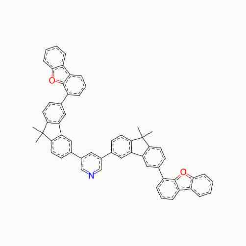 CC1(C)c2ccc(-c3cncc(-c4ccc5c(c4)-c4cc(-c6cccc7c6oc6ccccc67)ccc4C5(C)C)c3)cc2-c2cc(-c3cccc4c3oc3ccccc34)ccc21